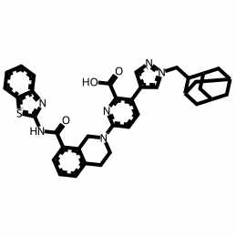 O=C(Nc1nc2ccccc2s1)c1cccc2c1CN(c1ccc(-c3cnn(CC4C5CC6CC(C5)CC4C6)c3)c(C(=O)O)n1)CC2